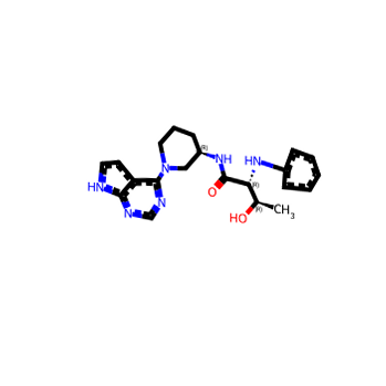 C[C@@H](O)[C@@H](Nc1ccccc1)C(=O)N[C@@H]1CCCN(c2ncnc3[nH]ccc23)C1